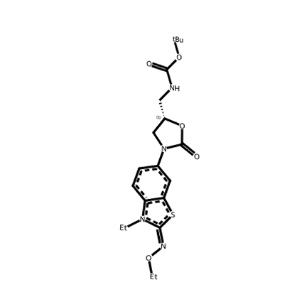 CCON=c1sc2cc(N3C[C@H](CNC(=O)OC(C)(C)C)OC3=O)ccc2n1CC